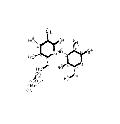 N[C@H]1C(O)O[C@H](CO)[C@@H](O)[C@@H]1O.N[C@H]1C(O)O[C@H](CO)[C@@H](O)[C@@H]1O.O=S(=O)(O)O.[Cl-].[Na+]